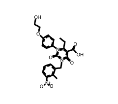 CCc1c(C(=O)O)c(=O)n(Cc2cccc([N+](=O)[O-])c2C)c(=O)n1-c1ccc(OCCO)cc1